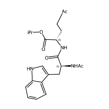 CC(=O)CC[C@H](NC(=O)[C@H](Cc1c[nH]c2ccccc12)NC(C)=O)C(=O)OC(C)C